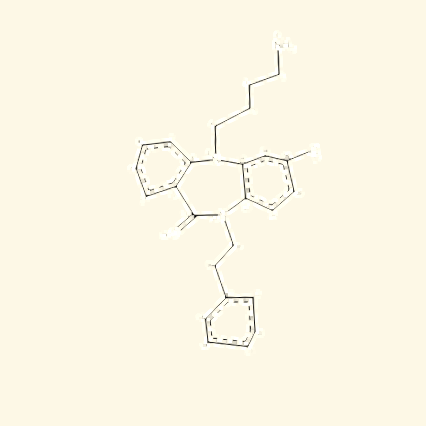 NCCCCN1c2ccccc2C(=O)N(CCc2ccccc2)c2ccc(Cl)cc21